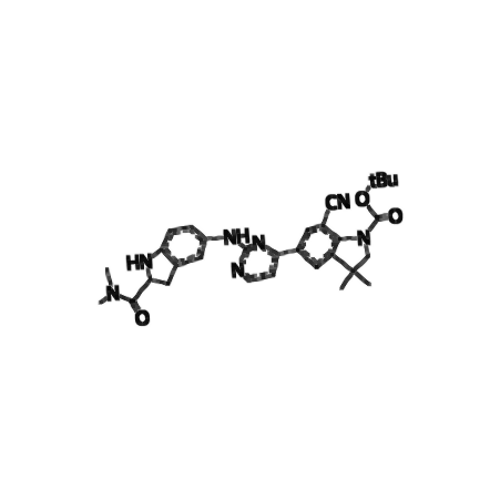 CN(C)C(=O)C1Cc2cc(Nc3nccc(-c4cc(C#N)c5c(c4)C(C)(C)CN5C(=O)OC(C)(C)C)n3)ccc2N1